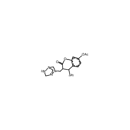 CCCC1c2ccc(OC(C)=O)cc2OC(=O)C1CN1CN2CN1CN2